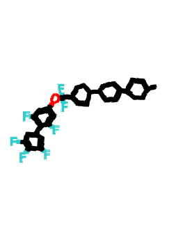 CC1CCC(C2CCC(C3CCC(C(F)(F)Oc4cc(F)c(-c5cc(F)c(F)c(F)c5)c(F)c4)CC3)CC2)CC1